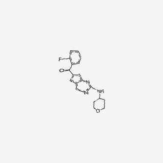 O=C(c1cc2cnc(NC3CCOCC3)nc2s1)c1ccccc1F